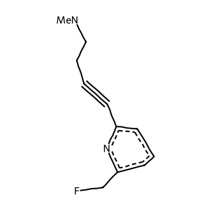 CNCCC#Cc1cccc(CF)n1